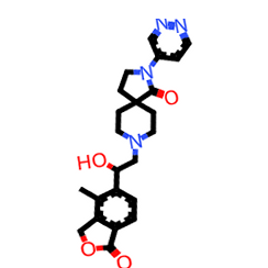 Cc1c(C(O)CN2CCC3(CC2)CCN(c2ccnnc2)C3=O)ccc2c1COC2=O